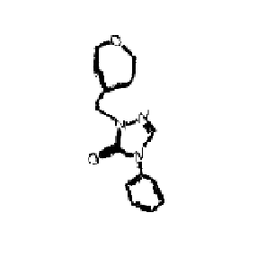 O=c1n(-c2ccccc2)cnn1CC1CCOCC1